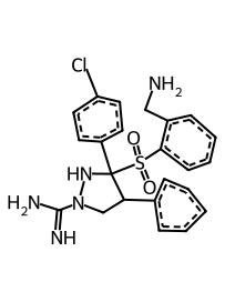 N=C(N)N1CC(c2ccccc2)C(c2ccc(Cl)cc2)(S(=O)(=O)c2ccccc2CN)N1